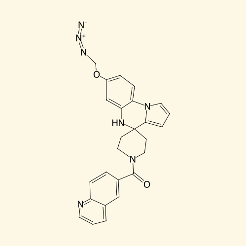 [N-]=[N+]=NCOc1ccc2c(c1)NC1(CCN(C(=O)c3ccc4ncccc4c3)CC1)c1cccn1-2